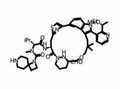 CCn1c(-c2cccnc2[C@H](C)OC)c2c3cc(ccc31)-c1csc(n1)C[C@H](NC(=O)[C@H](C(C)C)N(C)C(=O)N1CCC13CCNCC3)C(=O)N1CCC[C@](C=O)(COCC(C)(C)C2)N1